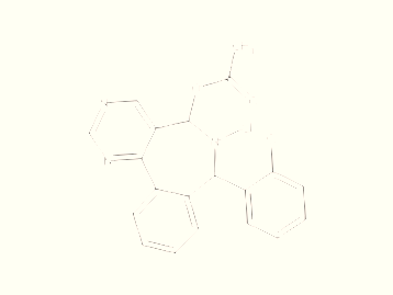 CC(=O)OC1c2cncnc2-c2ccccc2C(c2ccccc2Cl)N1Cl